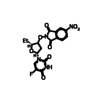 CC[C@H]1O[C@@H](n2cc(F)c(=O)[nH]c2=O)CC1ON1C(=O)c2ccc([N+](=O)[O-])cc2C1=O